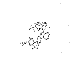 CC(C)(C)N(OC(=O)C(F)(F)F)S(=O)(=O)c1ccccc1-c1ccc(-c2cnc(N)nc2C(F)(F)F)c(F)c1